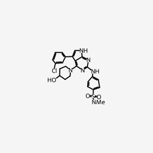 CNS(=O)(=O)c1ccc(Nc2nc(N3CCC(O)CC3)c3c(-c4cccc(Cl)c4)c[nH]c3n2)cc1